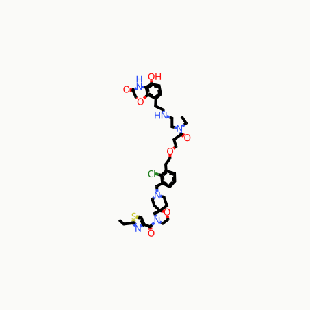 CCc1nc(C(=O)N2CCOC3(CCN(Cc4cccc(CCOCCC(=O)N(CC)CCNCCc5ccc(O)c6c5OCC(=O)N6)c4Cl)CC3)C2)cs1